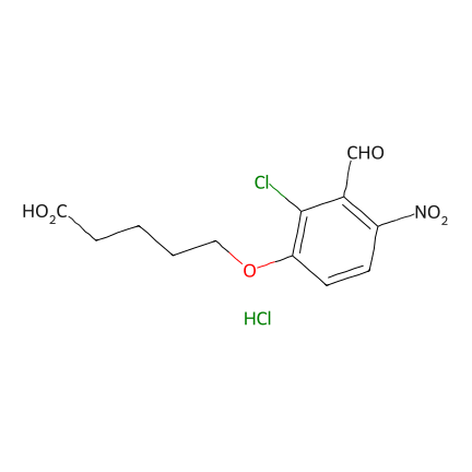 Cl.O=Cc1c([N+](=O)[O-])ccc(OCCCCC(=O)O)c1Cl